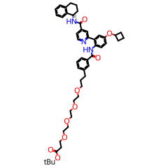 CC(C)(C)OC(=O)CCOCCOCCOCCOCCCc1cccc(C(=O)Nc2ccc(OC3CCC3)cc2-c2cc(C(=O)N[C@H]3CCCc4ccccc43)ccn2)c1